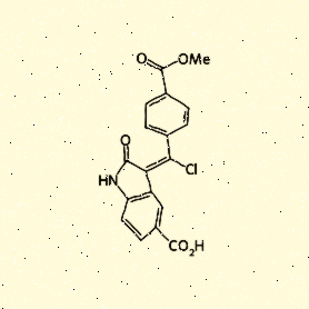 COC(=O)c1ccc(C(Cl)=C2C(=O)Nc3ccc(C(=O)O)cc32)cc1